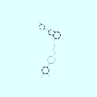 Cc1ccc(C2CCN(CCCOc3cccc4oc(-c5nnc(C(C)(C)C)o5)cc34)CC2)cc1C